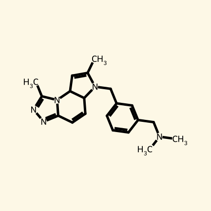 CC1=CC2C(C=Cc3nnc(C)n32)N1Cc1cccc(CN(C)C)c1